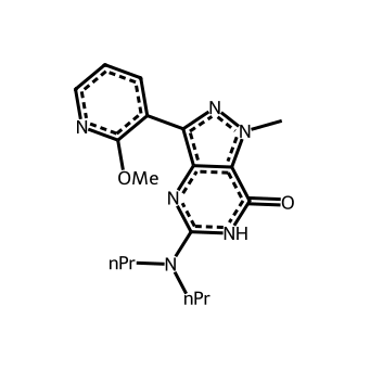 CCCN(CCC)c1nc2c(-c3cccnc3OC)nn(C)c2c(=O)[nH]1